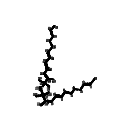 CC=CCCC=CC=CC=C(C)C(C)(C)SC(C)(C)C(C)=CC=CC=CCCC=CC